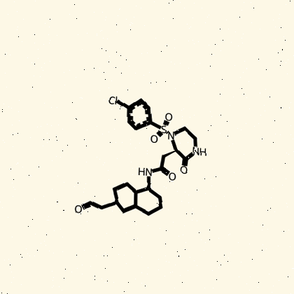 O=CCC1CCC2C(CCCC2NC(=O)C[C@@H]2C(=O)NCCN2S(=O)(=O)c2ccc(Cl)cc2)C1